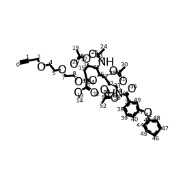 C#CCOCCOCCO[C@]1(C(=O)OC)C[C@H](OC(C)=O)[C@@H](NC(C)=O)[C@H]([C@H](OC(C)=O)[C@@H](CNC(=O)c2cccc(Oc3ccccc3)c2)OC(C)=O)O1